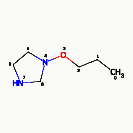 CCCON1CCNC1